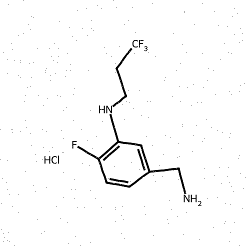 Cl.NCc1ccc(F)c(NCCC(F)(F)F)c1